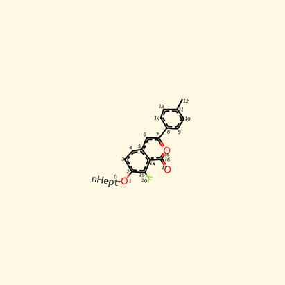 CCCCCCCOc1ccc2cc(-c3ccc(C)cc3)oc(=O)c2c1F